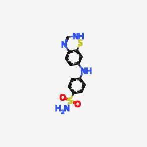 NS(=O)(=O)c1ccc(Nc2ccc3c(c2)SNC=N3)cc1